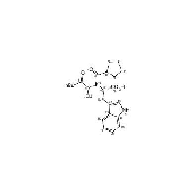 CCCCC(=O)N(S)N(C(=O)C1CCCC1)[C@@H](Cc1c[nH]c2ccccc12)C(=O)O